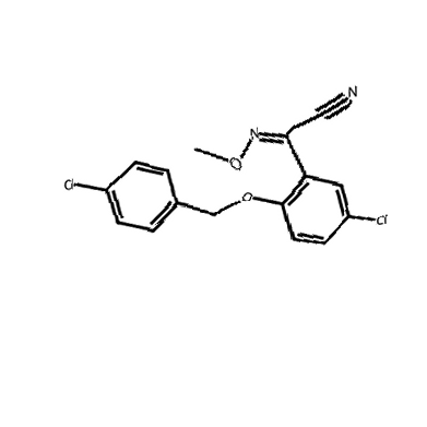 CO/N=C(/C#N)c1cc(Cl)ccc1OCc1ccc(Cl)cc1